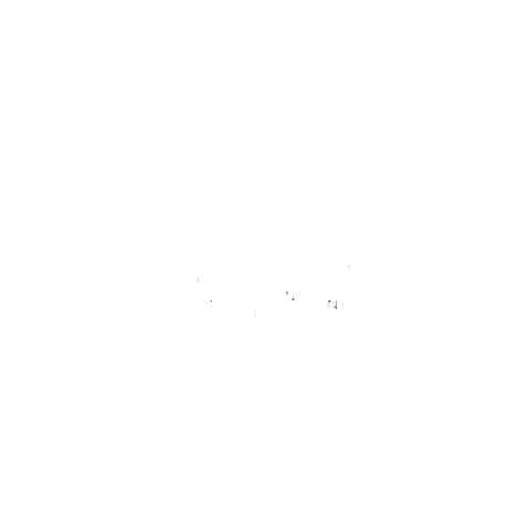 C[SH](=O)=O.c1ccc(-c2conn2)cc1